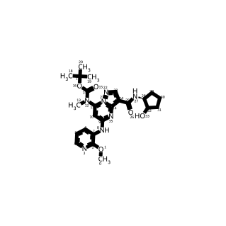 COc1ncccc1Nc1cc(N(C)C(=O)OC(C)(C)C)n2ncc(C(=O)N[C@@H]3CCCC3O)c2n1